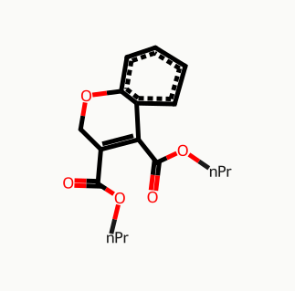 CCCOC(=O)C1=C(C(=O)OCCC)c2ccccc2OC1